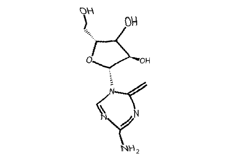 C=C1N=C(N)N=CN1[C@@H]1O[C@H](CO)C(O)[C@H]1O